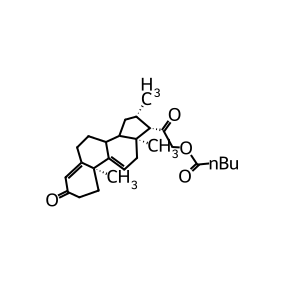 CCCCC(=O)OCC(=O)[C@H]1[C@@H](C)CC2C3CCC4=CC(=O)CC[C@]4(C)C3=CC[C@@]21C